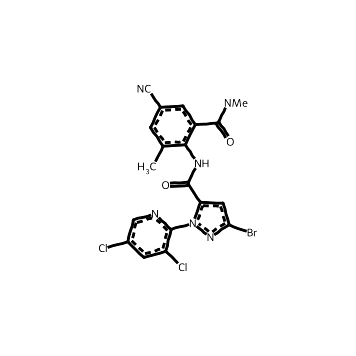 CNC(=O)c1cc(C#N)cc(C)c1NC(=O)c1cc(Br)nn1-c1ncc(Cl)cc1Cl